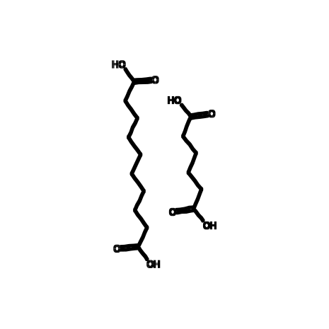 O=C(O)CCCCC(=O)O.O=C(O)CCCCCCCCC(=O)O